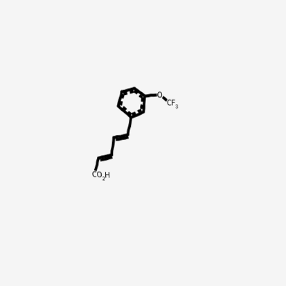 O=C(O)/C=C/C=C/c1cccc(OC(F)(F)F)c1